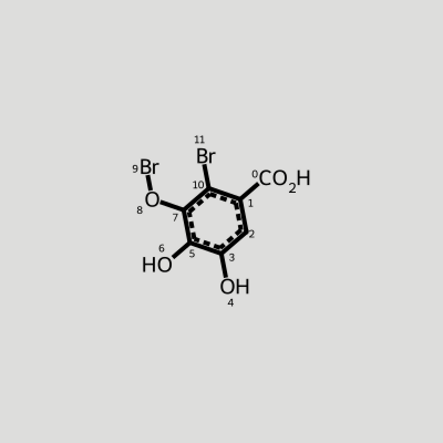 O=C(O)c1cc(O)c(O)c(OBr)c1Br